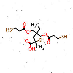 CCC(COC(=O)CCS)(COC(=O)CCS)CC(C)(S)C(=O)O